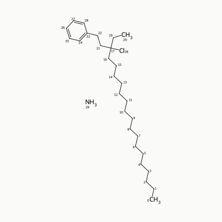 CCCCCCCCCCCCCCCCCC(Cl)(CC)CCc1ccccc1.N